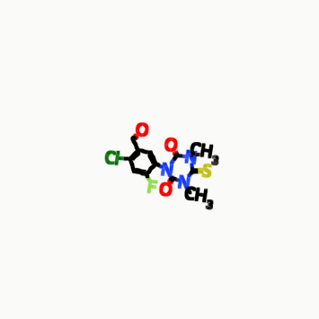 Cn1c(=S)n(C)c(=O)n(-c2cc(C=O)c(Cl)cc2F)c1=O